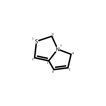 [CH]1SC=C2C=CCN12